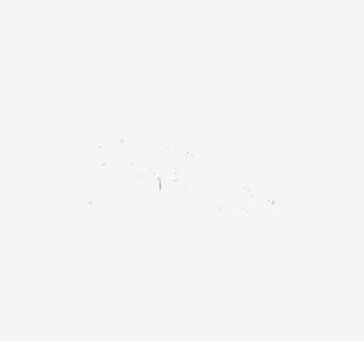 Nc1nc2cc(-c3cnc4c(c3)C(=O)N(Cc3cc(F)cc(F)c3OC3CC3)CC4)ccn2n1